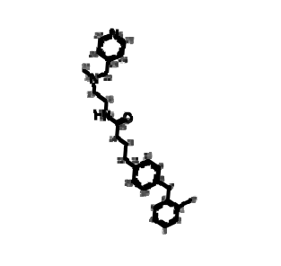 Cc1ccccc1Cc1ccc(CCCC(=O)NCCN(C)Cc2ccncc2)cc1